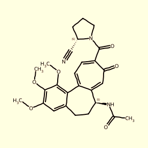 COc1cc2c(c(OC)c1OC)-c1ccc(C(=O)N3CCC[C@H]3C#N)c(=O)cc1[C@@H](NC(C)=O)CC2